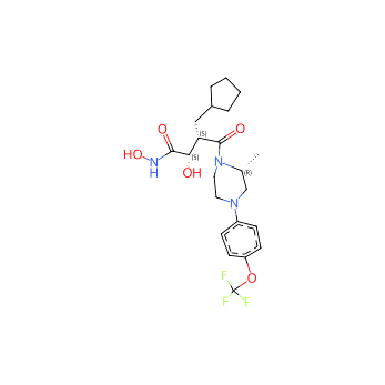 C[C@@H]1CN(c2ccc(OC(F)(F)F)cc2)CCN1C(=O)[C@@H](CC1CCCC1)[C@H](O)C(=O)NO